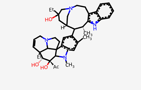 CCC1(O)C[C@H]2CN(CCc3c([nH]c4ccccc34)[C@H](C)C2c2cc3c(cc2C)N(C)C2C34CCN3CC=C[C@](CC)(C34)[C@@H](O)[C@]2(O)C(C)=O)C1